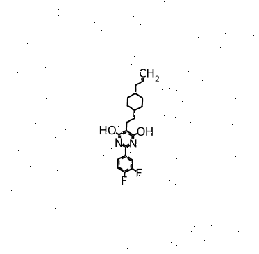 C=CCC1CCC(CCc2c(O)nc(-c3ccc(F)c(F)c3)nc2O)CC1